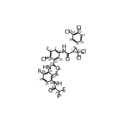 Cc1cc(NC(=O)C2[C@H](c3ccc(Cl)c(Cl)c3)C2(Cl)Cl)cc(C(=O)Nc2c(F)ccc(NC(=O)C(F)F)c2F)c1Cl